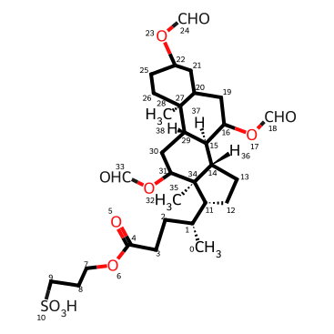 C[C@H](CCC(=O)OCCCS(=O)(=O)O)[C@H]1CC[C@H]2[C@@H]3C(OC=O)CC4CC(OC=O)CC[C@]4(C)[C@H]3CC(OC=O)[C@]12C